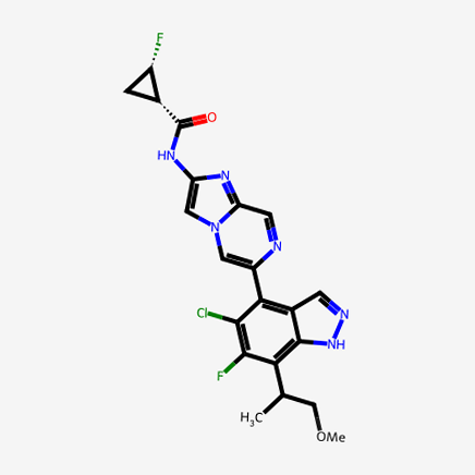 COCC(C)c1c(F)c(Cl)c(-c2cn3cc(NC(=O)[C@@H]4C[C@@H]4F)nc3cn2)c2cn[nH]c12